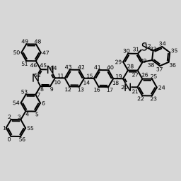 c1ccc(-c2ccc(-c3cc(-c4ccc(-c5ccc(-c6nc7ccccc7c7c6ccc6sc8ccccc8c67)cc5)cc4)nc(-c4ccccc4)n3)cc2)cc1